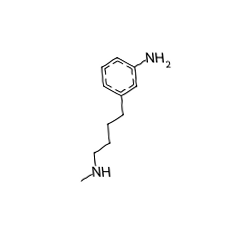 CNCCCCc1cccc(N)c1